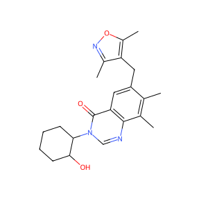 Cc1noc(C)c1Cc1cc2c(=O)n(C3CCCCC3O)cnc2c(C)c1C